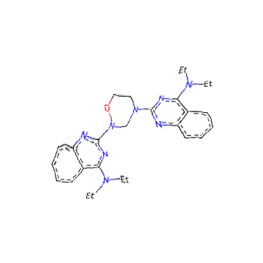 CCN(CC)c1nc(N2CCON(c3nc(N(CC)CC)c4ccccc4n3)C2)nc2ccccc12